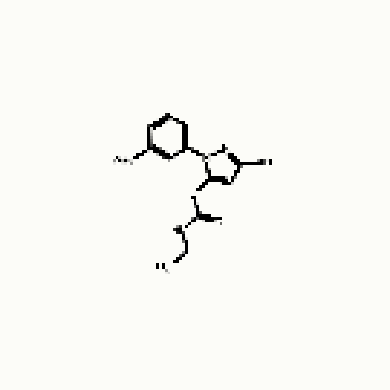 CSc1cccc(-n2nc(C(C)(C)C)cc2OC(=O)NCC(Cl)(Cl)Cl)c1